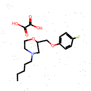 CCCCCN1CCOC(COc2ccc(F)cc2)C1.O=C(O)C(=O)O